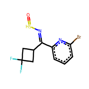 O=[SH]/N=C(/c1cccc(Br)n1)C1CC(F)(F)C1